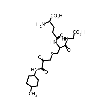 CC1CCC(NC(=O)C(=O)CSCC(NC(=O)CCC(N)C(=O)O)C(=O)NCC(=O)O)CC1